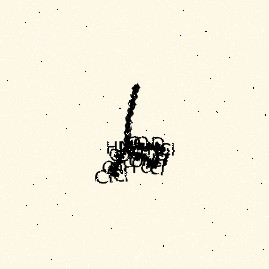 CCCCCCCCCCCCCCCC(=O)NC(COC(=O)CCNC(=O)C(Cl)Cl)(COC(=O)CCNC(=O)C(Cl)Cl)COC(=O)CCNC(=O)C(Cl)Cl